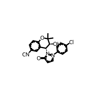 [C-]#[N+]c1ccc2c(c1)[C@@H](n1c(=O)ccn1-c1ccc(Cl)cc1)[C@H](O)C(C)(C)O2